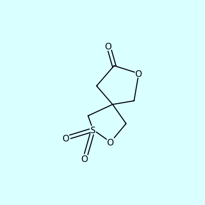 O=C1CC2(CO1)COS(=O)(=O)C2